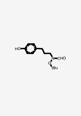 CC(C)(C)ON(C=O)CCCc1ccc(O)cc1